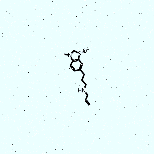 C=CCNCCCc1ccc2c(c1)[S+]([O-])CN2C